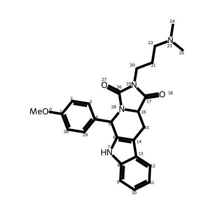 COc1ccc(C2c3[nH]c4ccccc4c3CC3C(=O)N(CCCN(C)C)C(=O)N32)cc1